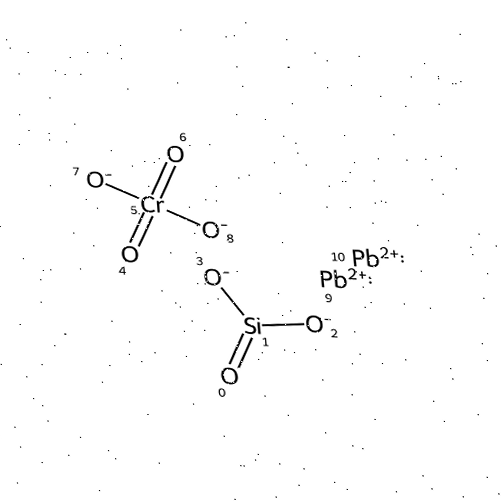 O=[Si]([O-])[O-].[O]=[Cr](=[O])([O-])[O-].[Pb+2].[Pb+2]